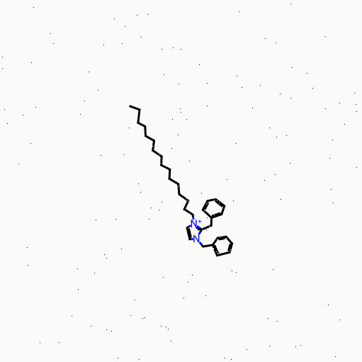 CCCCCCCCCCCCCCCC[n+]1ccn(Cc2ccccc2)c1Cc1ccccc1